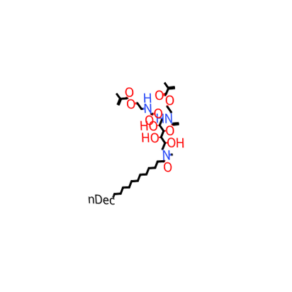 C=C(NCCOC(=O)C(=C)C)O[C@@H]([C@H](O)[C@@H](O)CN(C)C(=O)CCCCCCCCCCCCCCCCCCCCC)[C@H](O)COC(=O)NCCOC(=O)C(=C)C